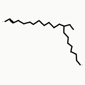 [CH2]/C=C/CCCCCCCCCC(CC)CCCCCCC[CH2]